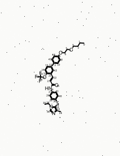 CCCCOCCOc1ccc(-c2ccc(OC(F)(F)F)c(/C=C/C(=O)Nc3ccc(Sc4c(C)ncn4CC)cc3)c2)cc1